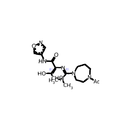 CC(=O)N1CCCN(/C(=N/C(C(=O)Nc2cnoc2)=C(/O)C=O)N(C)C)CC1